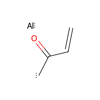 [Al].[C]C(=O)C=C